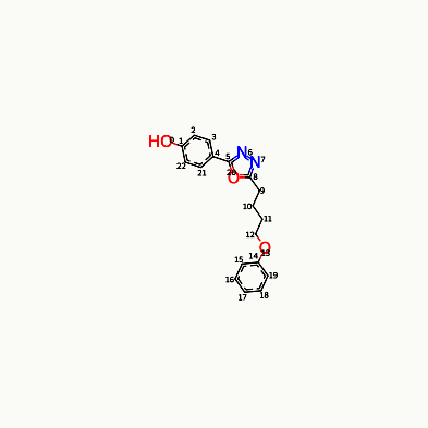 Oc1ccc(-c2nnc(CCCCOc3ccccc3)o2)cc1